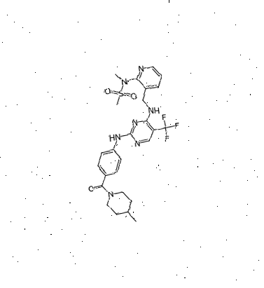 CC1CCN(C(=O)c2ccc(Nc3ncc(C(F)(F)F)c(NCc4cccnc4N(C)S(C)(=O)=O)n3)cc2)CC1